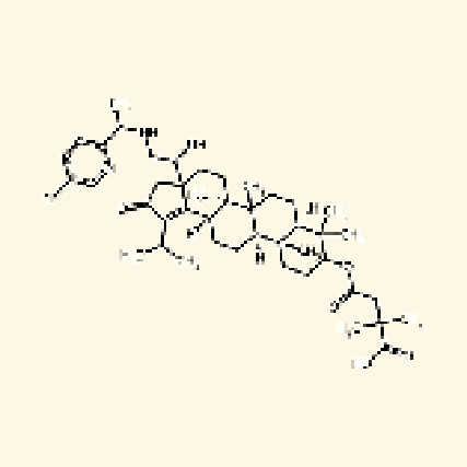 CC(C)C1=C2[C@H]3CC[C@@H]4[C@@]5(C)CC[C@H](OC(=O)CC(C)(C)C(=O)O)C(C)(C)[C@@H]5CC[C@@]4(C)[C@]3(C)CCC2([C@H](O)CN[C@H](C)c2ccc(Cl)cn2)CC1=O